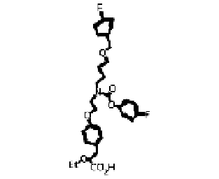 CCOC(Cc1ccc(OCCN(CCCCOCc2ccc(F)cc2)C(=O)Oc2ccc(F)cc2)cc1)C(=O)O